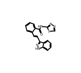 O=C(Nc1nncs1)c1ccccc1/C=C/c1n[nH]c2ccccc12